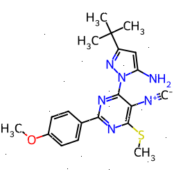 [C-]#[N+]c1c(SC)nc(-c2ccc(OC)cc2)nc1-n1nc(C(C)(C)C)cc1N